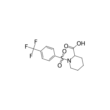 O=C(O)C1CCCCN1S(=O)(=O)c1ccc(C(F)(F)F)cc1